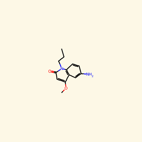 CCCn1c(=O)cc(OC)c2cc(N)ccc21